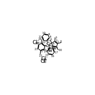 CC1=C(C)C(C)([Si](c2ccccc2)(c2ccccc2)c2cc(C)ccc2C)[C]([Ti+3])=C1C.[Cl-].[Cl-].[Cl-]